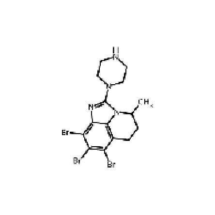 CC1CCc2c(Br)c(Br)c(Br)c3nc(N4CCNCC4)n1c23